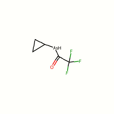 O=C([AsH]C1CC1)C(F)(F)F